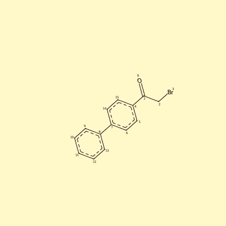 O=C(CBr)c1ccc(-c2ccccc2)cc1